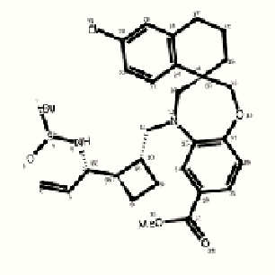 C=C[C@H](N[S+]([O-])C(C)(C)C)[C@@H]1CC[C@H]1CN1C[C@@]2(CCCc3cc(Cl)ccc32)COc2ccc(C(=O)OC)cc21